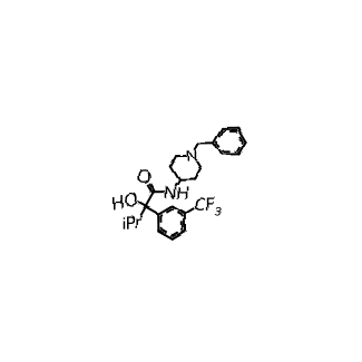 CC(C)C(O)(C(=O)NC1CCN(Cc2ccccc2)CC1)c1cccc(C(F)(F)F)c1